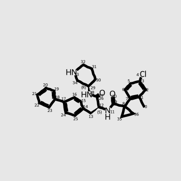 Cc1cc(Cl)ccc1C1(C(=O)N[C@@H](Cc2ccc(-c3ccccc3)cc2)C(=O)N[C@@H]2CCCNC2)CC1